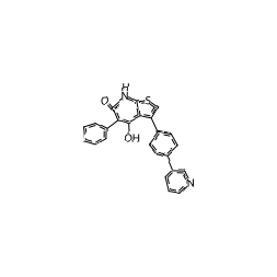 O=c1[nH]c2scc(-c3ccc(-c4cccnc4)cc3)c2c(O)c1-c1ccccc1